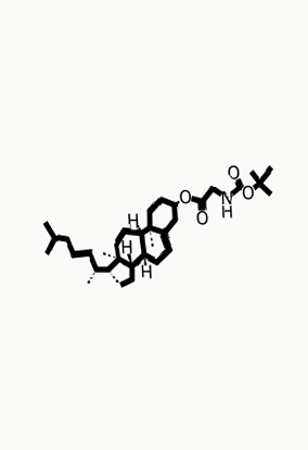 CC(C)CCC[C@@H](C)[C@H]1CC[C@H]2[C@@H]3CC=C4C[C@@H](OC(=O)CNC(=O)OC(C)(C)C)CC[C@]4(C)[C@H]3CC[C@]12C